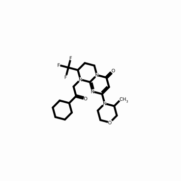 CC1COCCN1c1cc(=O)n2c(n1)N(CC(=O)C1CCCCC1)C(C(F)(F)F)CC2